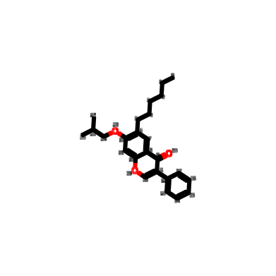 CCCCCCc1cc2c(=O)c(-c3ccccc3)coc2cc1OCC(C)C